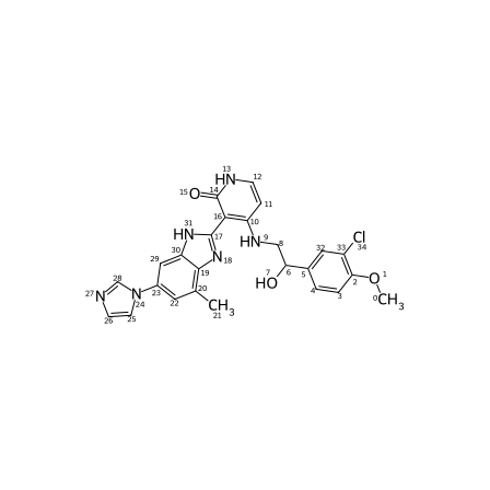 COc1ccc(C(O)CNc2cc[nH]c(=O)c2-c2nc3c(C)cc(-n4ccnc4)cc3[nH]2)cc1Cl